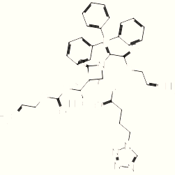 C=CCOC(=O)O[C@H](C)[C@H]1C(=O)N(C(C(=O)OCC=C)=P(c2ccccc2)(c2ccccc2)c2ccccc2)[C@@H]1SC(=O)CCCn1cnnn1